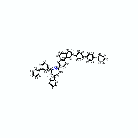 C[C@H]1C(c2ccccc2)=CCC(c2ccc3c(c2)C2CC2c2ccc(-c4ccc(-c5ccc(-c6ccccc6)cc5)cc4)cc2-3)=NC1c1cccc(-c2ccccc2)c1